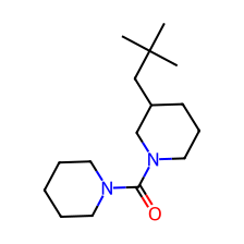 CC(C)(C)CC1CCCN(C(=O)N2CCCCC2)C1